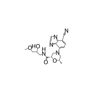 COCC(O)CNC(=O)[C@H]1CN(c2ccc(C#N)c3nccnc23)C[C@@H](C)O1